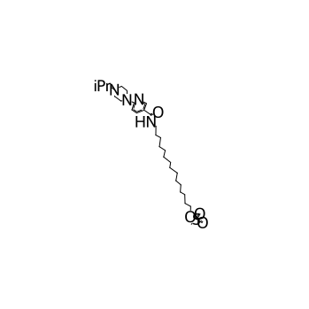 CC(C)N1CCN(c2ccc(C(=O)NCCCCCCCCCCCCCCCOS(C)(=O)=O)cn2)CC1